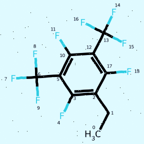 CCc1c(F)c(C(F)(F)F)c(F)c(C(F)(F)F)c1F